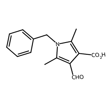 Cc1c(C=O)c(C(=O)O)c(C)n1Cc1ccccc1